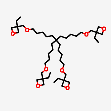 CCC1(COCCCCCC(CCCCCOCC2(CC)COC2)(CCCCCOCC2(CC)COC2)CCCCCOCC2(CC)COC2)COC1